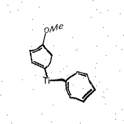 COC1=CC=[C]([Ti][c]2ccccc2)C1